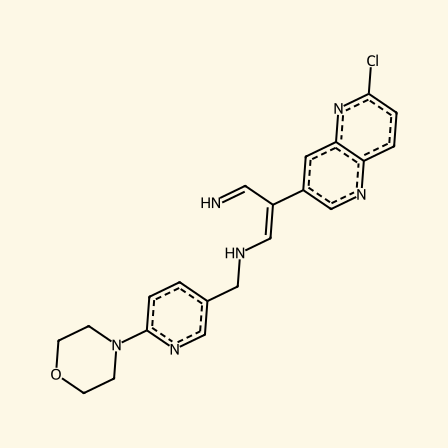 N=C/C(=C\NCc1ccc(N2CCOCC2)nc1)c1cnc2ccc(Cl)nc2c1